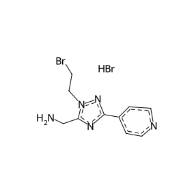 Br.NCc1nc(-c2ccncc2)nn1CCBr